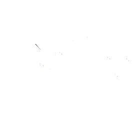 N=C(N)NCCC[C@H](NC(=O)[C@H](Cc1ccccc1)NC(=O)OCc1ccccc1)C(=O)C(=O)CF